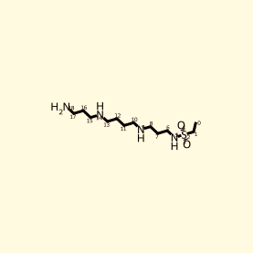 CCS(=O)(=O)NCCCNCCCCNCCCN